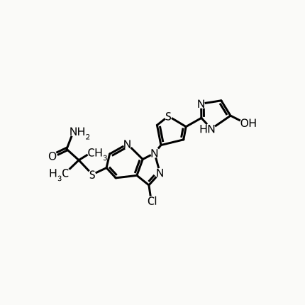 CC(C)(Sc1cnc2c(c1)c(Cl)nn2-c1csc(-c2ncc(O)[nH]2)c1)C(N)=O